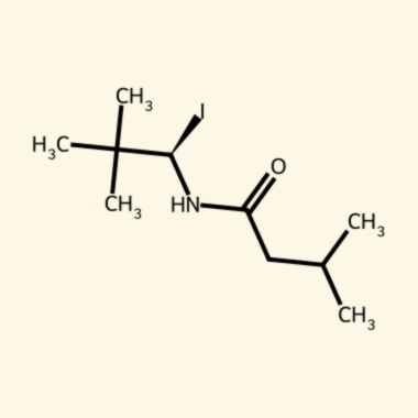 CC(C)CC(=O)N[C@H](I)C(C)(C)C